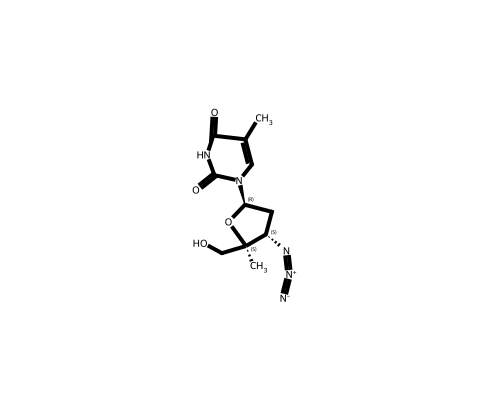 Cc1cn([C@H]2C[C@H](N=[N+]=[N-])[C@@](C)(CO)O2)c(=O)[nH]c1=O